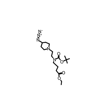 CCOC(=O)CCCN(CCN1CCC(N=[N+]=[N-])CC1)C(=O)OC(C)(C)C